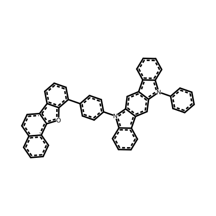 c1ccc(-n2c3ccccc3c3cc4c(cc32)c2ccccc2n4-c2ccc(-c3cccc4c3oc3c5ccccc5ccc43)cc2)cc1